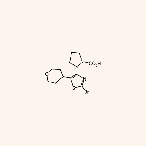 O=C(O)N1CCC[C@H]1c1nc(Br)sc1C1CCOCC1